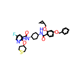 O=C(N[C@H]1CC[C@@H](NC(=O)c2cc(F)cnc2OC2CCSCC2)CC1)c1ccc(OCc2ccccc2)cc1OCC1CC1